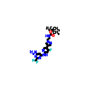 CC(C)(C)OC(=O)NCCn1cc(-c2cnc(Nc3cc(N)nc(C(F)F)n3)cc2F)cn1